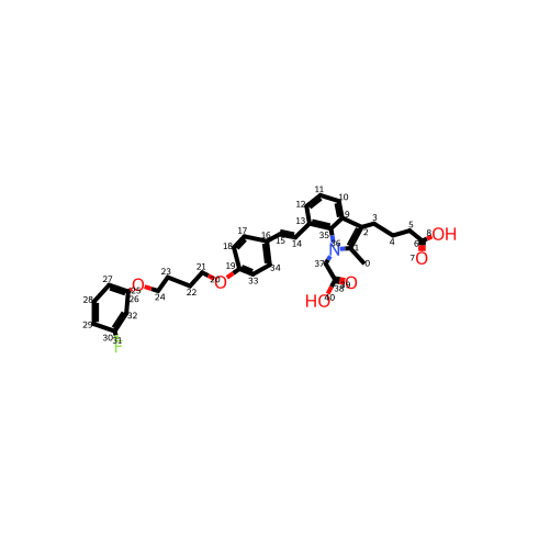 Cc1c(CCCC(=O)O)c2cccc(C=Cc3ccc(OCCCCOc4cccc(F)c4)cc3)c2n1CC(=O)O